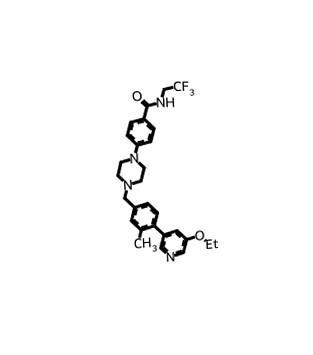 CCOc1cncc(-c2ccc(CN3CCN(c4ccc(C(=O)NCC(F)(F)F)cc4)CC3)cc2C)c1